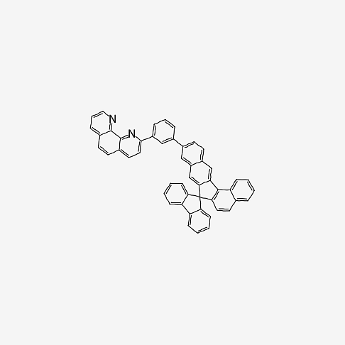 c1cc(-c2ccc3cc4c(cc3c2)C2(c3ccccc3-c3ccccc32)c2ccc3ccccc3c2-4)cc(-c2ccc3ccc4cccnc4c3n2)c1